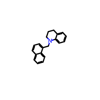 c1ccc2c(c1)CCCN2Cc1cccc2ccccc12